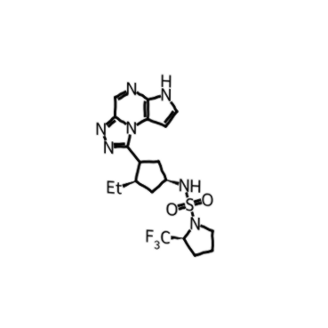 CC[C@@H]1C[C@H](NS(=O)(=O)N2CCC[C@H]2C(F)(F)F)CC1c1nnc2cnc3[nH]ccc3n12